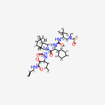 C=CCNC(=O)C(=O)C(CCC)NC(=O)[C@@H]1[C@H]2CCC(C)(C)[C@H]2CN1C(=O)[C@@H](NC(=O)N[C@H](CN(C)[S+](C)[O-])C(C)(C)C)C1CCCCC1